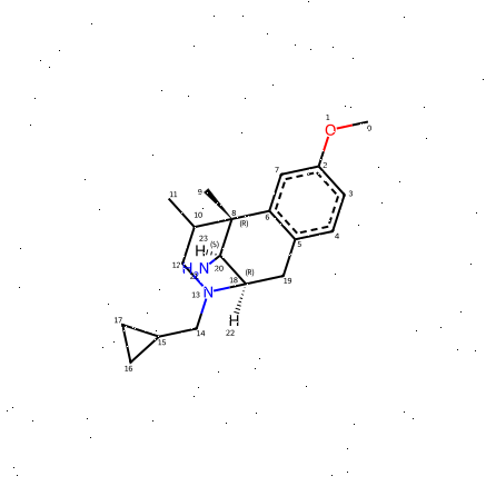 COc1ccc2c(c1)[C@@]1(C)C(C)CN(CC3CC3)[C@H](C2)[C@H]1N